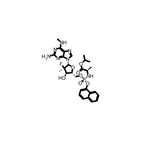 CNc1nc(N)nc2c1ncn2[C@@H]1O[C@H](CO[P@@](=O)(N[C@H](C)C(=O)OC(C)C)Oc2cccc3ccccc23)[C@@H](O)[C@@]1(C)F